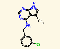 FC(F)(F)c1c[nH]c2ncnc(NCc3cccc(Cl)c3)c12